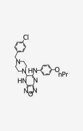 CCCOc1ccc(NC2=Nc3nonc3NC2N2CCN(Cc3ccc(Cl)cc3)CC2)cc1